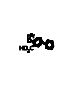 CCCOc1ccc(-c2ccccc2)cc1C(=O)O